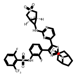 CN1CC2CCC(C1)N2c1nc(-c2cccc(NS(=O)(=O)c3c(F)cccc3C(F)(F)F)c2F)c(-c2ccnc(NC3[C@H]4CS(=O)(=O)C[C@@H]34)n2)s1